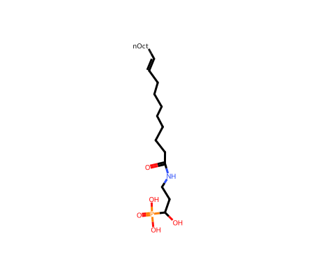 CCCCCCCCC=CCCCCCCCC(=O)NCCC(O)P(=O)(O)O